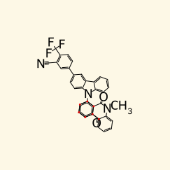 CN(C(=O)c1c(C=O)cccc1-n1c2ccccc2c2cc(-c3ccc(C(F)(F)F)c(C#N)c3)ccc21)c1ccccc1-c1ccccc1